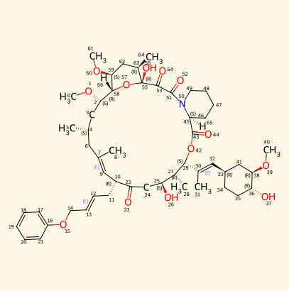 CO[C@H]1C[C@@H](C)C/C(C)=C/[C@@H](C/C=C/COc2ccccc2)C(=O)C[C@H](O)[C@@H](C)[C@@H](/C(C)=C/[C@@H]2CC[C@@H](O)[C@H](OC)C2)OC(=O)[C@@H]2CCCCN2C(=O)C(=O)[C@]2(O)O[C@H]1[C@@H](OC)C[C@H]2C